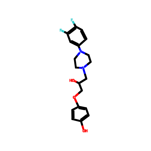 Oc1ccc(OCC(O)CN2CCN(c3ccc(F)c(F)c3)CC2)cc1